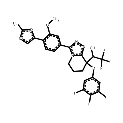 COc1cc(-c2nnc3n2CCCC3(Oc2cc(F)c(F)c(F)c2)C(O)C(F)(F)F)ccc1-c1cnc(C)o1